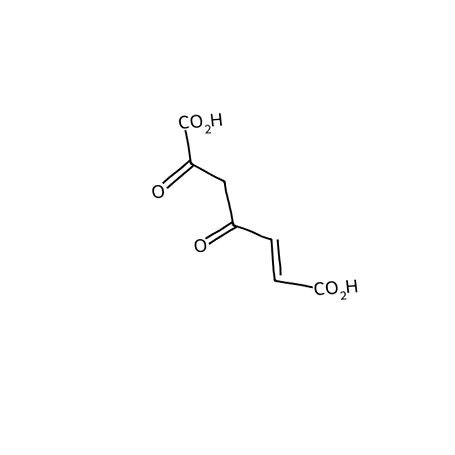 O=C(O)C=CC(=O)CC(=O)C(=O)O